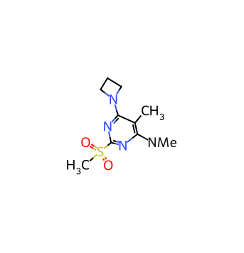 CNc1nc(S(C)(=O)=O)nc(N2CCC2)c1C